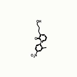 Cc1cc([N+](=O)[O-])ccc1-n1cccc(CCCO)c1=O